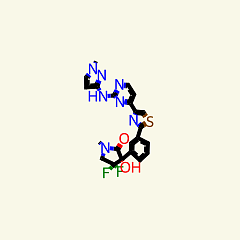 CN1CC(F)(F)C(O)(c2cccc(-c3nc(-c4ccnc(Nc5ccn(C)n5)n4)cs3)c2)C1=O